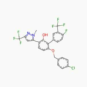 Cn1nc(C(F)(F)F)cc1-c1ccc(OCc2ccc(Cl)cc2)c(-c2ccc(F)c(C(F)(F)F)c2)c1O